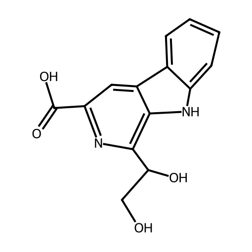 O=C(O)c1cc2c([nH]c3ccccc32)c(C(O)CO)n1